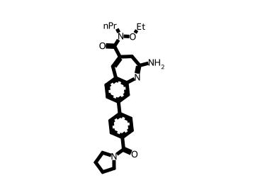 CCCN(OCC)C(=O)C1=Cc2ccc(-c3ccc(C(=O)N4CCCC4)cc3)cc2N=C(N)C1